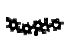 C[C@@H](Nc1cnn(-c2ccc(Oc3ccc(F)cc3)cc2)c(=O)c1Cl)[C@H]1CCCOC1